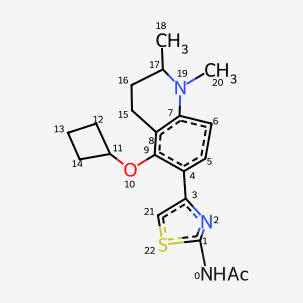 CC(=O)Nc1nc(-c2ccc3c(c2OC2CCC2)CCC(C)N3C)cs1